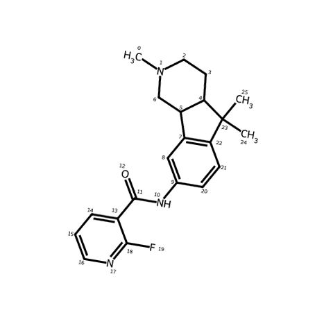 CN1CCC2C(C1)c1cc(NC(=O)c3cccnc3F)ccc1C2(C)C